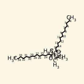 CCC.CCCCCCCCCCCCCC(=O)[N+](C)(C)C(=O)CCCCCCCCCCCCC